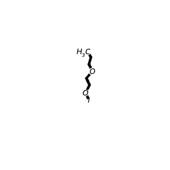 CCCOCCOI